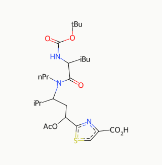 CCCN(C(=O)C(NC(=O)OC(C)(C)C)C(C)CC)C(CC(OC(C)=O)c1nc(C(=O)O)cs1)C(C)C